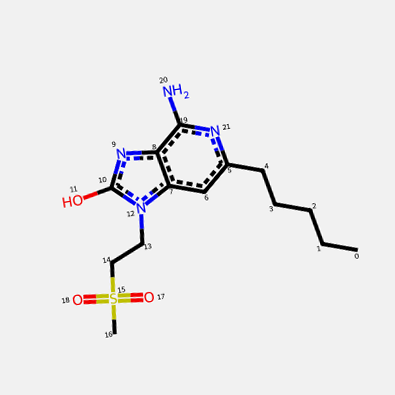 CCCCCc1cc2c(nc(O)n2CCS(C)(=O)=O)c(N)n1